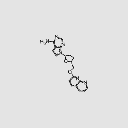 Nc1ncnc2c1ccn2C1CC[C@@H](COc2ccc3cccnc3n2)O1